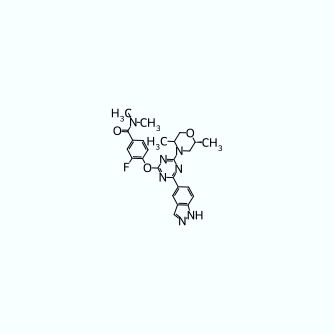 CC1CO[C@@H](C)CN1c1nc(Oc2ccc(C(=O)N(C)C)cc2F)nc(-c2ccc3[nH]ncc3c2)n1